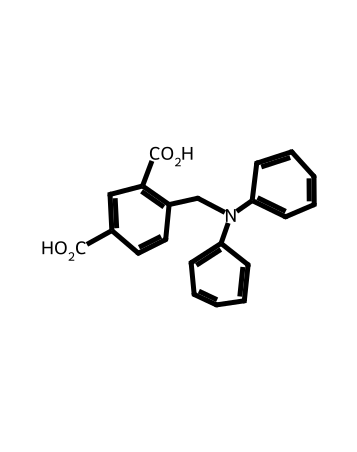 O=C(O)c1ccc(CN(c2ccccc2)c2ccccc2)c(C(=O)O)c1